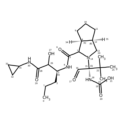 CCC[C@H](NC(=O)C1[C@H]2CCC[C@H]2CN1[C@@](C=O)(NC(=O)O)C(C)(C)C)C(O)C(=O)NC1CC1